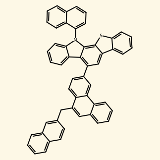 c1ccc2cc(Cc3cc4ccccc4c4cc(-c5cc6c7ccccc7sc6c6c5c5ccccc5n6-c5cccc6ccccc56)ccc34)ccc2c1